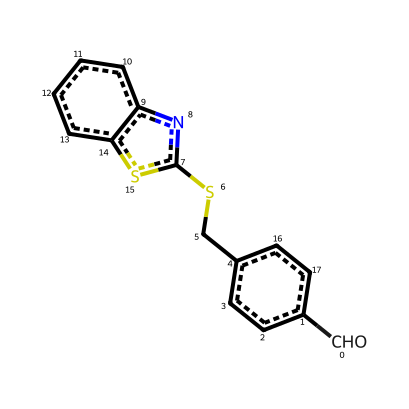 O=Cc1ccc(CSc2nc3ccccc3s2)cc1